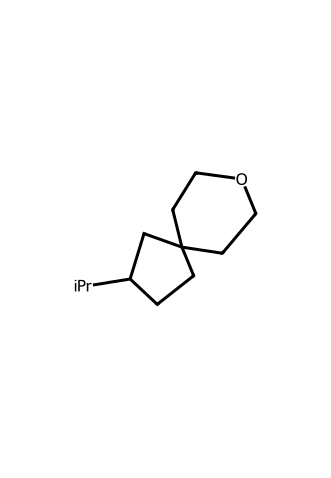 CC(C)C1CCC2(CCOCC2)C1